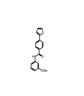 COc1cccc(NC(=O)c2ccc(-c3cccs3)cc2)c1